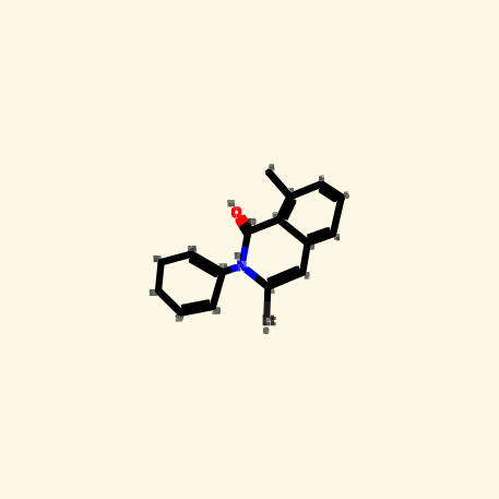 CCc1cc2cccc(C)c2c(=O)n1C1=CCCC=C1